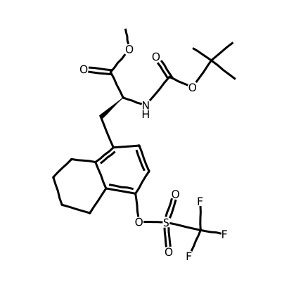 COC(=O)[C@H](Cc1ccc(OS(=O)(=O)C(F)(F)F)c2c1CCCC2)NC(=O)OC(C)(C)C